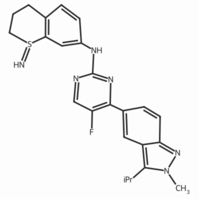 CC(C)c1c2cc(-c3nc(Nc4ccc5c(c4)S(=N)CCC5)ncc3F)ccc2nn1C